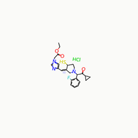 CCOC(=O)Cn1cnc(/C=C2/CN(C(C(=O)C3CC3)c3ccccc3F)CCC2S)c1.Cl